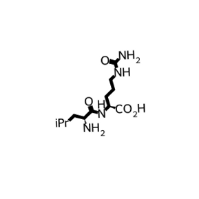 CC(C)C[C@@H](N)C(=O)N[C@@H](CCCNC(N)=O)C(=O)O